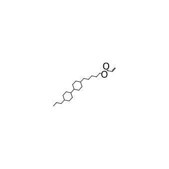 C=CC(=O)OCCCCCC1CCC(C2CCC(CCC)CC2)CC1